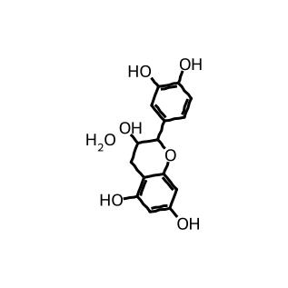 O.Oc1cc(O)c2c(c1)OC(c1ccc(O)c(O)c1)C(O)C2